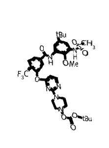 COc1c(NC(=O)c2ccc(C(F)(F)F)c(Oc3ccnc(N4CCN(OC(=O)OC(C)(C)C)CC4)n3)c2)cc(C(C)(C)C)cc1NS(C)(=O)=O